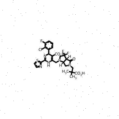 CCOC(=O)C1=C(CN2CC(F)(F)[C@@H]3C(=O)N(CC(C)(C)C(=O)O)C[C@@H]32)NC(c2nccs2)=NC1c1cccc(F)c1Cl